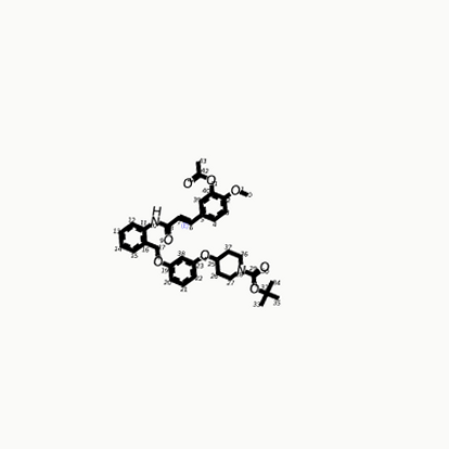 COc1ccc(/C=C/C(=O)Nc2ccccc2COc2cccc(OC3CCN(C(=O)OC(C)(C)C)CC3)c2)cc1OC(C)=O